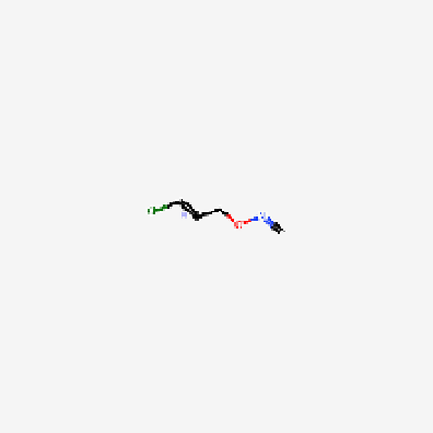 [CH]=NOC/C=C/Cl